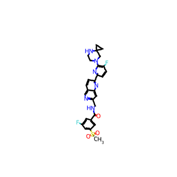 CS(=O)(=O)c1cc(F)cc(C(=O)NCc2cc3nc(-c4ccc(F)c(N5CCNC6(CC6)C5)n4)ccc3cn2)c1